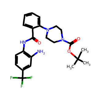 CC(C)(C)OC(=O)N1CCN(c2ccccc2C(=O)Nc2ccc(C(F)(F)F)cc2N)CC1